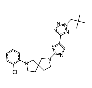 CC(C)(C)Cn1nnc(-c2cnc(N3CCC4(CCN(c5ccccc5Cl)C4)C3)s2)n1